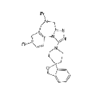 CC(C)N1Cc2cc(Cl)ccc2-n2c(nnc2N2CCC3(CC2)OCc2ccccc23)C1